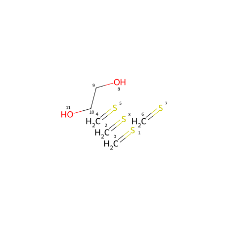 C=S.C=S.C=S.C=S.OCCO